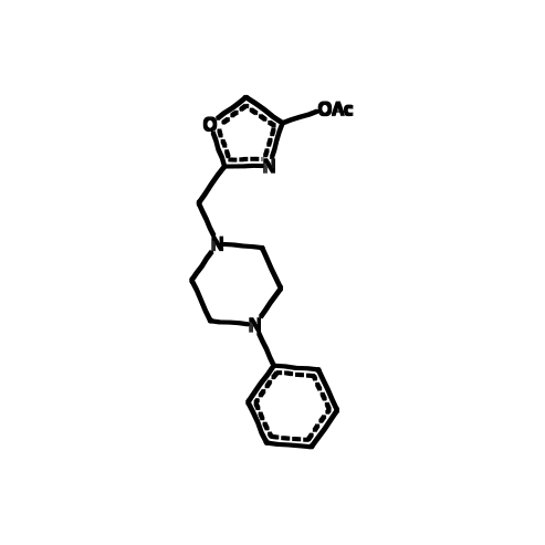 CC(=O)Oc1coc(CN2CCN(c3ccccc3)CC2)n1